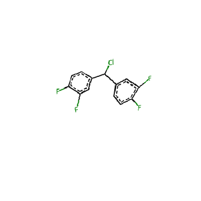 Fc1ccc(C(Cl)c2ccc(F)c(F)c2)cc1F